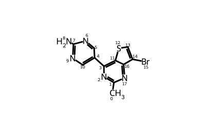 Cc1nc(-c2cnc(N)nc2)c2scc(Br)c2n1